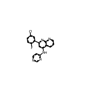 Fc1ccc(Cl)cc1-c1cc(Nc2ccncn2)c2cccnc2n1